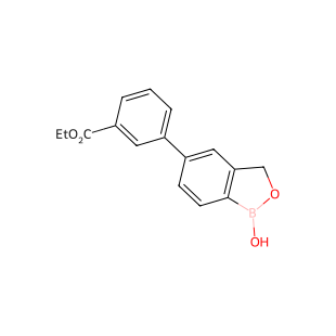 CCOC(=O)c1cccc(-c2ccc3c(c2)COB3O)c1